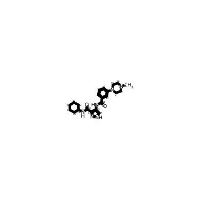 CN1CCN(c2cccc(C(=O)Nc3c[nH]nc3C(=O)NC3CCCCC3)c2)CC1